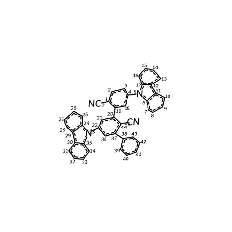 N#Cc1ccc(-n2c3ccccc3c3ccccc32)cc1-c1cc(-n2c3ccccc3c3ccccc32)cc(-c2ccccc2)c1C#N